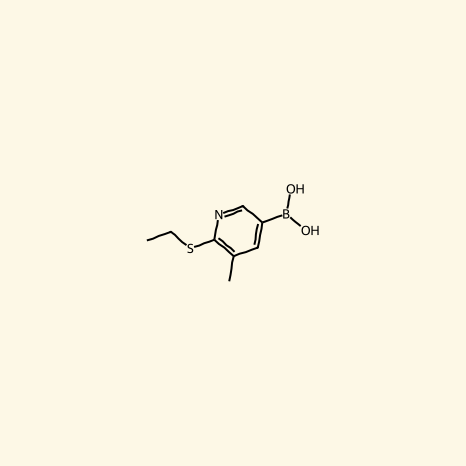 CCSc1ncc(B(O)O)cc1C